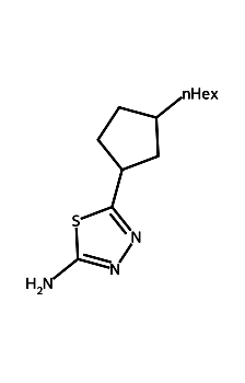 CCCCCCC1CCC(c2nnc(N)s2)C1